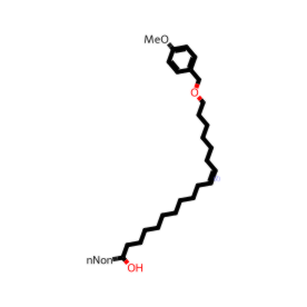 CCCCCCCCCC(O)CCCCCCCCC/C=C\CCCCCCOCc1ccc(OC)cc1